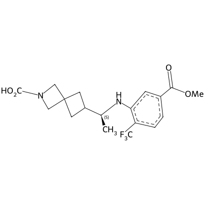 COC(=O)c1ccc(C(F)(F)F)c(N[C@@H](C)C2CC3(C2)CN(C(=O)O)C3)c1